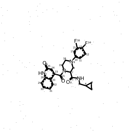 O=C(NCC1CC1)C1CN(c2ccc(F)c(F)c2)CCN1C(=O)c1cc(=O)[nH]c2ccccc12